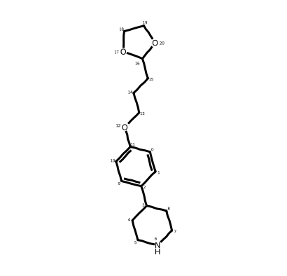 c1cc(C2CCNCC2)ccc1OCCCC1OCCO1